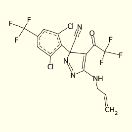 C=CCNC1=C(C(=O)C(F)(F)F)C(C#N)(c2c(Cl)cc(C(F)(F)F)cc2Cl)N=N1